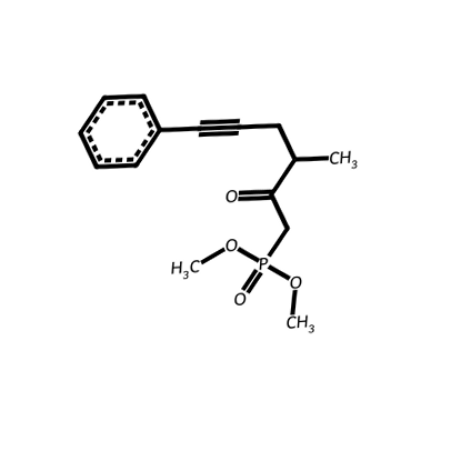 COP(=O)(CC(=O)C(C)CC#Cc1ccccc1)OC